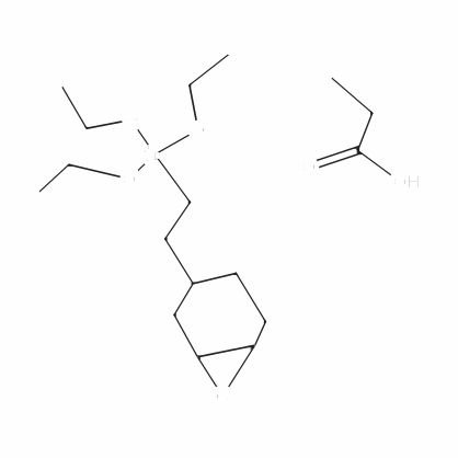 CCO[Si](CCC1CCC2OC2C1)(OCC)OCC.[CH2]CC(=O)O